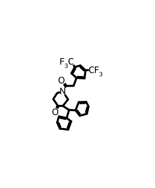 O=C1CCN(C(=O)Cc2cc(C(F)(F)F)cc(C(F)(F)F)c2)CC1C(c1ccccc1)c1ccccc1